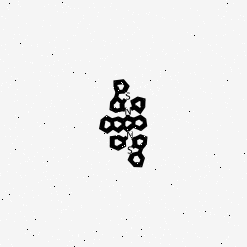 c1ccc(N(c2c3ccccc3c(N(c3ccccc3)c3cccc4c3sc3ccccc34)c3cc4ccccc4cc23)c2cccc3c2sc2ccccc23)cc1